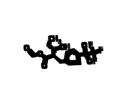 CCN(O)[C@@H](Cc1ccc(S(=O)(=O)C(F)(F)F)cc1)C(=O)OC=O